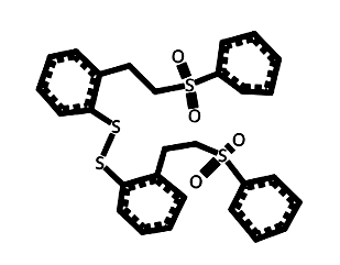 O=S(=O)(CCc1ccccc1SSc1ccccc1CCS(=O)(=O)c1ccccc1)c1ccccc1